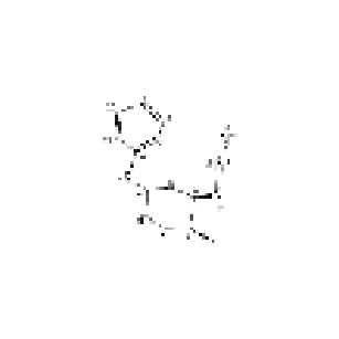 C[C@H]1CO[C@H](Sc2ccccc2)C[C@H]1N=[N+]=[N-]